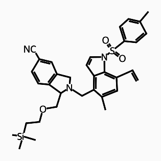 C=Cc1cc(C)c(CN2Cc3cc(C#N)ccc3C2COCC[Si](C)(C)C)c2ccn(S(=O)(=O)c3ccc(C)cc3)c12